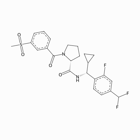 CS(=O)(=O)c1cccc(C(=O)N2CCC[C@@H]2C(=O)N[C@@H](c2ccc(C(F)F)cc2F)C2CC2)c1